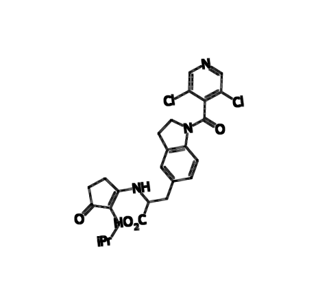 CC(C)CC1=C(NC(Cc2ccc3c(c2)CCN3C(=O)c2c(Cl)cncc2Cl)C(=O)O)CCC1=O